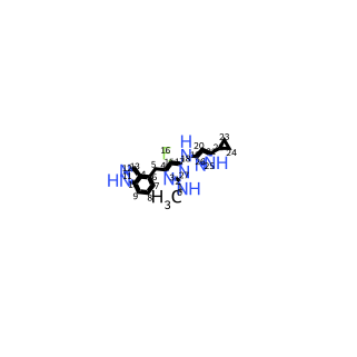 CNc1nc(Cc2cccc3[nH]ncc23)c(F)c(Nc2cc(C3CC3)[nH]n2)n1